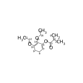 C=C(C)C(=O)OC1=CC[CH]C(OCC)=C1OCC